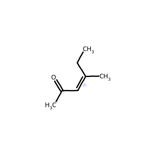 CC/C(C)=C\C(C)=O